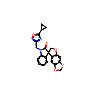 O=C1N(Cc2noc(C3CC3)n2)c2ccccc2C12COc1cc3c(cc12)OCO3